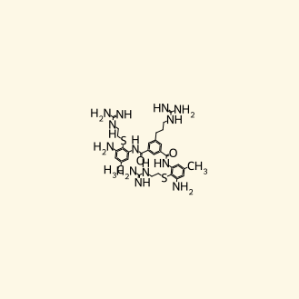 Cc1cc(N)c(SCCNC(=N)N)c(NC(=O)c2cc(CCCNC(=N)N)cc(C(=O)Nc3cc(C)cc(N)c3SCCNC(=N)N)c2)c1